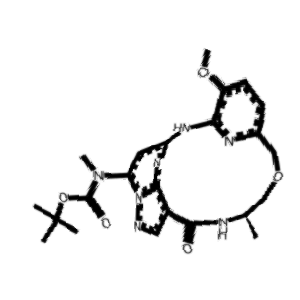 COc1ccc2nc1Nc1cc(N(C)C(=O)OC(C)(C)C)n3ncc(c3n1)C(=O)N[C@H](C)COC2